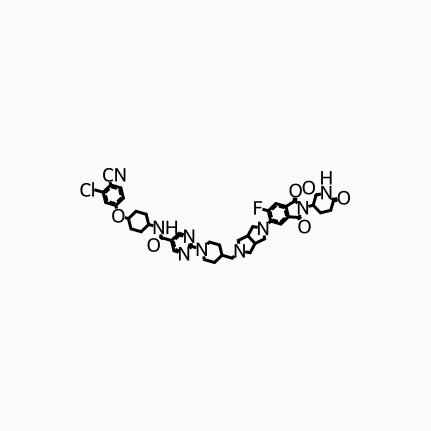 N#Cc1ccc(OC2CCC(NC(=O)c3cnc(N4CCC(CN5CC6CN(c7cc8c(cc7F)C(=O)N(C7CCC(=O)NC7=O)C8=O)CC6C5)CC4)nc3)CC2)cc1Cl